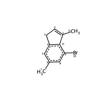 CC1=CCc2cc(C)cc(Br)c21